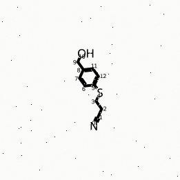 N#CCCSc1ccc(CO)cc1